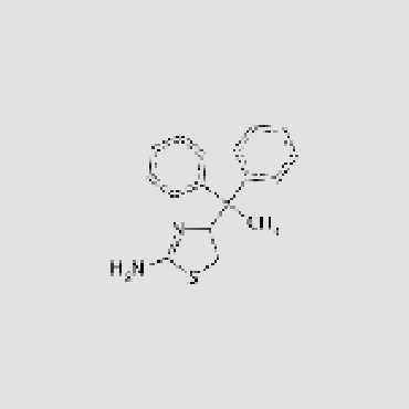 CC(c1ccccc1)(c1ccccc1)C1CSC(N)=N1